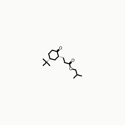 CC(C)COC(=O)CC[C@@H]1C[C@H](C(C)(C)C)CCC1=O